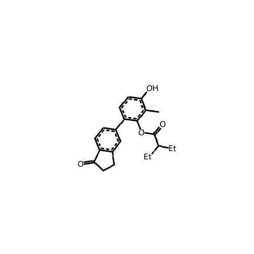 CCC(CC)C(=O)Oc1c(-c2ccc3c(c2)CCC3=O)ccc(O)c1C